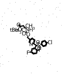 CC(C)(CC(=O)OC(C)(C)C)NC(=O)OCc1ccc(C(c2cc(F)ccc2F)S(=O)(=O)c2ccc(Cl)cc2)nc1